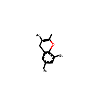 CCC(C)c1cc2c(c(C(C)CC)c1)OC(C)=C(C(C)=O)C2